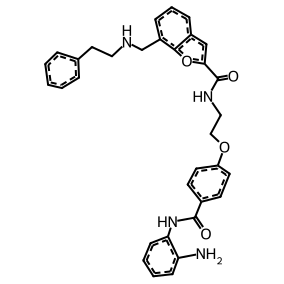 Nc1ccccc1NC(=O)c1ccc(OCCNC(=O)c2cc3cccc(CNCCc4ccccc4)c3o2)cc1